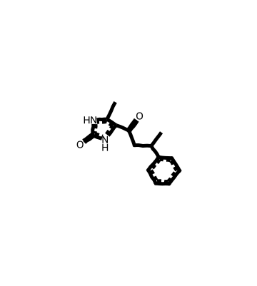 Cc1[nH]c(=O)[nH]c1C(=O)CC(C)c1ccccc1